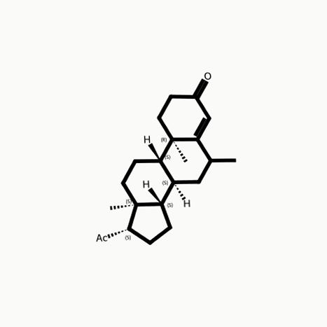 CC(=O)[C@H]1CC[C@H]2[C@@H]3CC(C)C4=CC(=O)CC[C@]4(C)[C@H]3CC[C@]12C